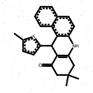 Cc1ccc(C2C3=C(CC(C)(C)CC3=O)Nc3ccc4ccccc4c32)s1